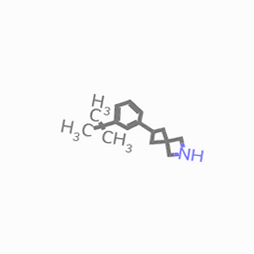 CC(C)(C)c1cccc(C2CC3(CNC3)C2)c1